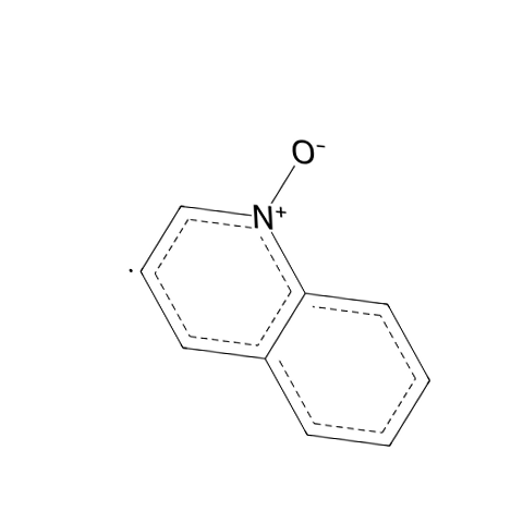 [O-][n+]1c[c]cc2ccccc21